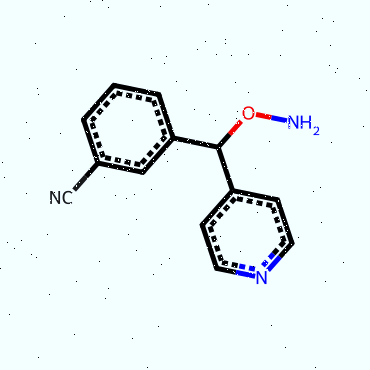 N#Cc1cccc(C(ON)c2ccncc2)c1